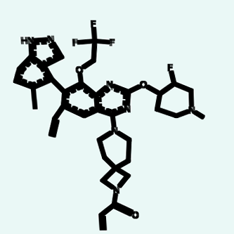 C=CC(=O)N1CC2(CCN(c3nc(OC4CCN(C)CC4F)nc4c(OCC(F)(F)F)c(-c5c(C)ccc6[nH]ncc56)c(C=C)cc34)CC2)C1